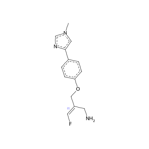 Cn1cnc(-c2ccc(OC/C(=C/F)CN)cc2)c1